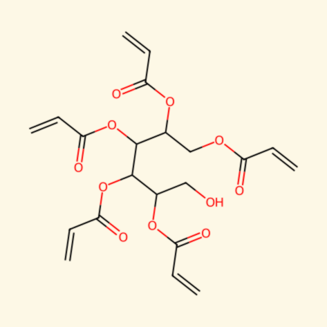 C=CC(=O)OCC(OC(=O)C=C)C(OC(=O)C=C)C(OC(=O)C=C)C(CO)OC(=O)C=C